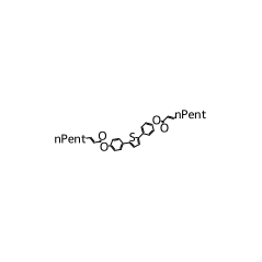 CCCCCC=CC(=O)Oc1ccc(-c2ccc(-c3ccc(OC(=O)C=CCCCCC)cc3)s2)cc1